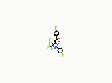 CN1C(=CC(=O)c2ccc(F)cc2)C(C(F)(F)F)(C(F)(F)F)N=C1c1ccc(F)cc1